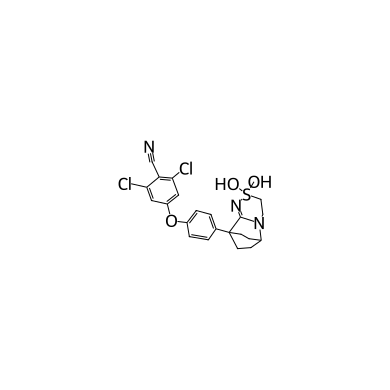 N#Cc1c(Cl)cc(Oc2ccc(C34CCC(CC3)N3CCS(O)(O)N=C34)cc2)cc1Cl